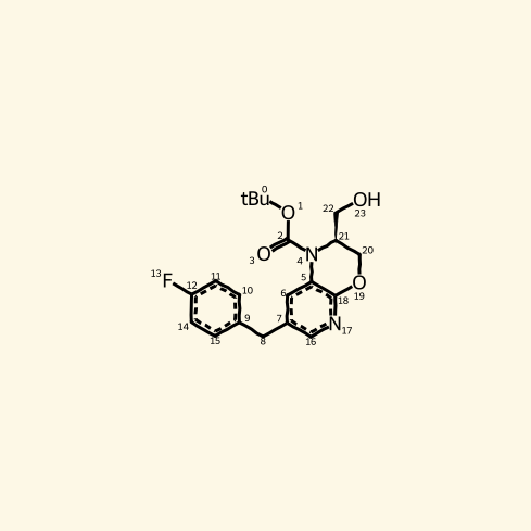 CC(C)(C)OC(=O)N1c2cc(Cc3ccc(F)cc3)cnc2OC[C@@H]1CO